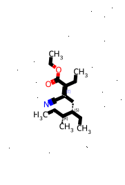 CCOC(=O)/C(CC)=C(\C#N)C[C@H](CC)[C@H](C)CC